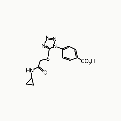 O=C(CSc1nnnn1-c1ccc(C(=O)O)cc1)NC1CC1